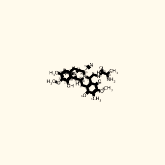 COC1=C(C)C(=O)C2=C(C1=O)C(CNC(=O)C(C)N)N1[C@@H](C#N)C3Cc4cc(C)c(OC)c(O)c4C([C@@H]1C2)N3C